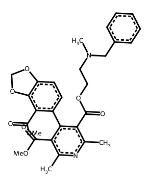 COC(=O)c1c(-c2c(C(=O)OC)c(C)nc(C)c2C(=O)OCCN(C)Cc2ccccc2)ccc2c1OCO2